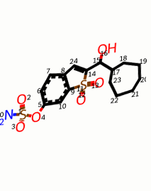 NS(=O)(=O)Oc1ccc2c(c1)S(=O)(=O)C(C(O)C1CCCCCC1)=C2